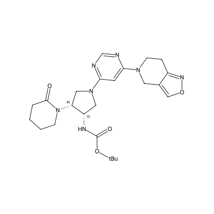 CC(C)(C)OC(=O)N[C@H]1CN(c2cc(N3CCc4nocc4C3)ncn2)C[C@H]1N1CCCCC1=O